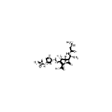 CNCC(=O)N[C@H](C)[C@H]1C(=O)N2C(C(=O)O)=C(SC[C@@H]3C[C@H](NS(N)(=O)=O)CN3)[C@H](C)[C@H]12